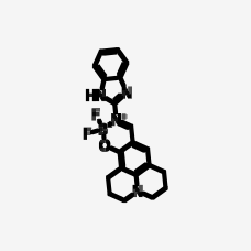 F[B-]1(F)Oc2c(cc3c4c2CCCN4CCC3)C=[N+]1c1nc2ccccc2[nH]1